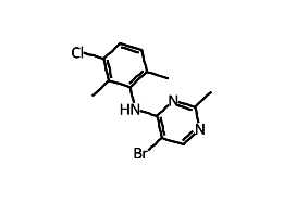 Cc1ncc(Br)c(Nc2c(C)ccc(Cl)c2C)n1